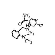 CN(C)c1ccccc1CNc1cc(Cl)ncc1C(N)=O